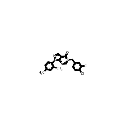 Cc1ccc(-n2ncc3c(=O)n(Cc4ccc(Cl)c(Cl)c4)cnc32)c(C)c1